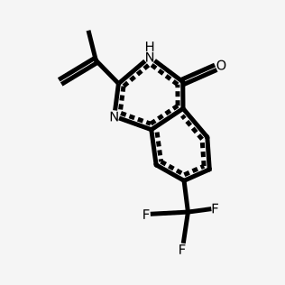 C=C(C)c1nc2cc(C(F)(F)F)ccc2c(=O)[nH]1